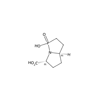 O=C(O)[C@H]1CC[C@@H]2CCP(=O)(O)N21